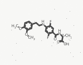 COc1ccc(CCNc2cc(F)c(C(=O)N[C@H](C)C(=O)O)cc2F)cc1OC